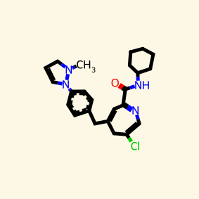 CN1CC=CN1c1ccc(CC2=CC(C(=O)NC3CCCCC3)=NC=C(Cl)C2)cc1